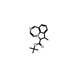 CC1c2cccc3c2N(C=CN=C3)C1C(=O)OC(C)(C)C